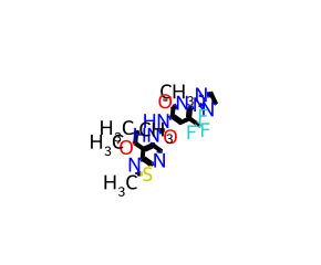 COc1nc(-n2nccn2)c(C(F)(F)F)cc1NC(=O)Nc1cnc2sc(C)nc2c1C(OC)C(C)C